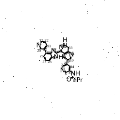 CC(C)C(=O)Nc1cncc(-c2cnc3c(c2)C(c2nc4c(-c5cccnc5)cccc4[nH]2)=NNC3)c1